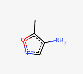 Cc1on[c]c1N